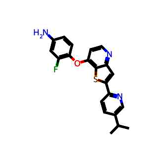 CC(C)c1ccc(-c2cc3nccc(Oc4ccc(N)cc4F)c3s2)nc1